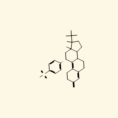 CC12C[C@H](c3ccc(S(C)(=O)=O)cc3)C3=C4CCC(=O)C=C4CCC3C1CCC2(O)C(F)(F)C(F)(F)F